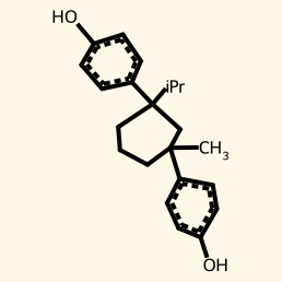 CC(C)C1(c2ccc(O)cc2)CCCC(C)(c2ccc(O)cc2)C1